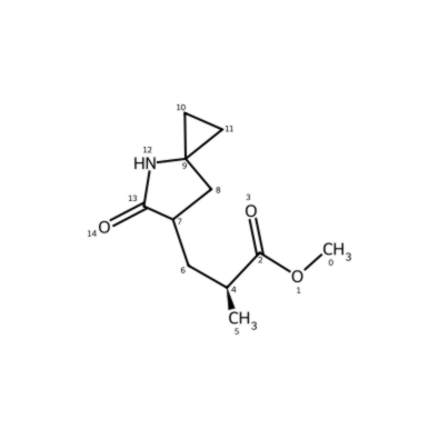 COC(=O)[C@@H](C)CC1CC2(CC2)NC1=O